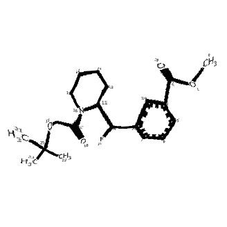 COC(=O)c1cccc(C(F)C2CCCCN2C(=O)OC(C)(C)C)c1